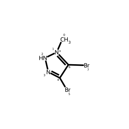 C[n+]1[nH]nc(Br)c1Br